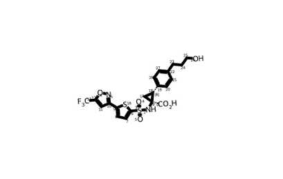 O=C(O)[C@]1(NS(=O)(=O)c2ccc(-c3cc(C(F)(F)F)on3)s2)C[C@@H]1c1ccc(CCCO)cc1